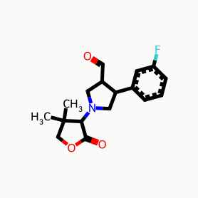 CC1(C)COC(=O)C1N1CC(C=O)C(c2cccc(F)c2)C1